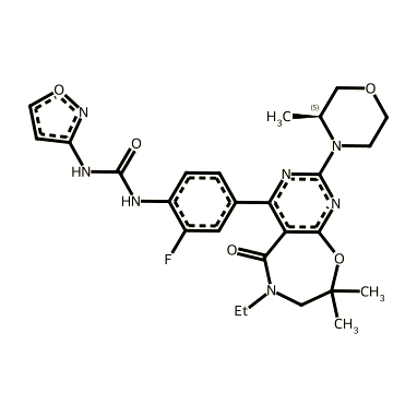 CCN1CC(C)(C)Oc2nc(N3CCOC[C@@H]3C)nc(-c3ccc(NC(=O)Nc4ccon4)c(F)c3)c2C1=O